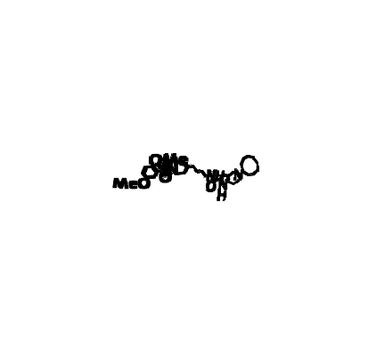 COc1ccc(OC)c(S(=O)(=O)N2CCC(CCCCNC(=O)c3cc4c([nH]3)CCN(C3CCCCCCCC3)C4)CC2)c1